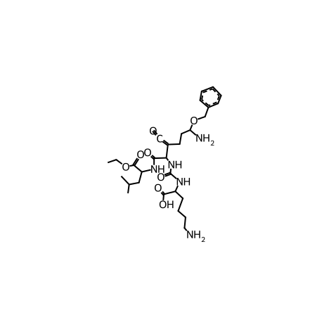 CCOC(=O)C(CC(C)C)NC(=O)C(NC(=O)NC(CCCCN)C(=O)O)C(=C=O)CCC(N)OCc1ccccc1